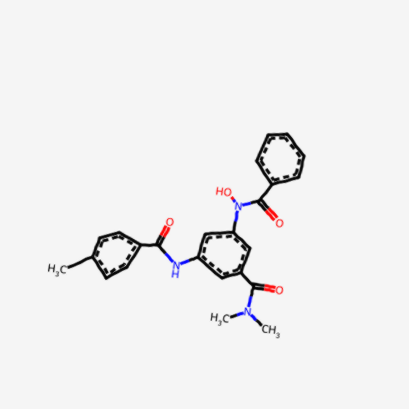 Cc1ccc(C(=O)Nc2cc(C(=O)N(C)C)cc(N(O)C(=O)c3ccccc3)c2)cc1